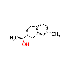 C=C(O)C1=CCc2ccc(C)cc2C1